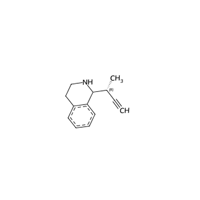 C#C[C@@H](C)C1NCCc2ccccc21